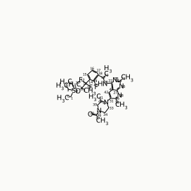 CC[Si](CC)(CC)OC(C)(C)C(F)(F)c1cccc([C@@H](C)Nc2nc(C)nc3nc(C)c(N4CCN(C(C)=O)CC4C)cc23)c1F